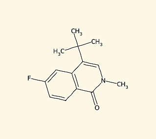 Cn1cc(C(C)(C)C)c2cc(F)ccc2c1=O